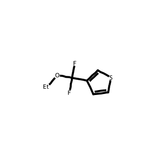 CCOC(F)(F)c1ccsc1